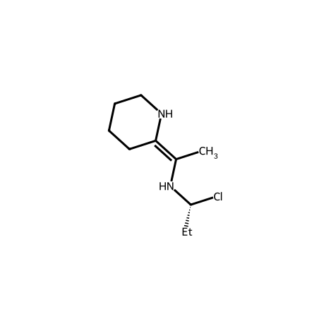 CC[C@@H](Cl)N/C(C)=C1\CCCCN1